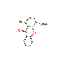 COc1ccc(Br)c2c(=O)c3ccccc3oc12